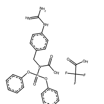 N=C(N)Nc1ccc(CN(C(=O)O)P(=O)(Oc2ccccc2)Oc2ccccc2)cc1.O=C(O)C(F)(F)F